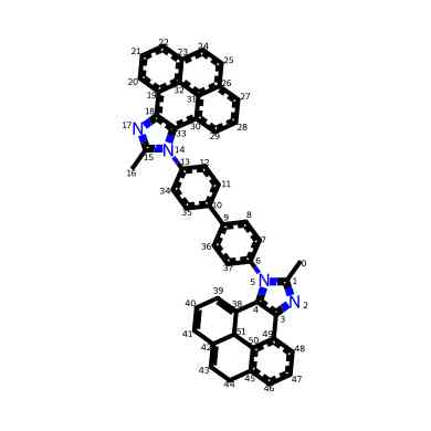 Cc1nc2c(n1-c1ccc(-c3ccc(-n4c(C)nc5c6cccc7ccc8cccc(c8c76)c54)cc3)cc1)C1=CC=CC3=CCc4cccc-2c4C31